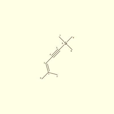 CC(C)=CC#C[Si](C)(C)C